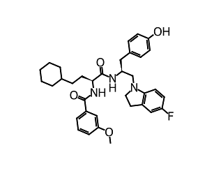 COc1cccc(C(=O)N[C@@H](CCC2CCCCC2)C(=O)N[C@@H](Cc2ccc(O)cc2)CN2CCc3cc(F)ccc32)c1